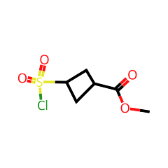 COC(=O)C1CC(S(=O)(=O)Cl)C1